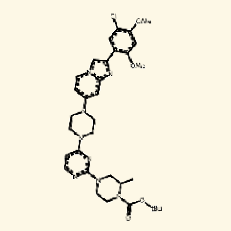 COc1cc(OC)c(-c2cn3ccc(N4CCN(c5ccnc(N6CCN(C(=O)OC(C)(C)C)C(C)C6)n5)CC4)cc3n2)cc1Cl